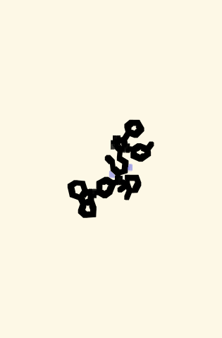 C=C/C=C(\C=C/Cc1nnc(-c2ccccc2)n1-c1cccc(C)c1)N(c1ccc(-n2c3c(c4ccccc42)C=CCC3)cc1)C1(C)C=CC=CC1C